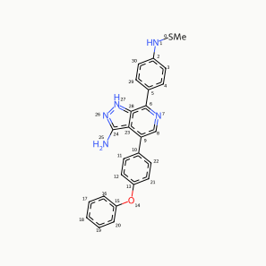 CSNc1ccc(-c2ncc(-c3ccc(Oc4ccccc4)cc3)c3c(N)n[nH]c23)cc1